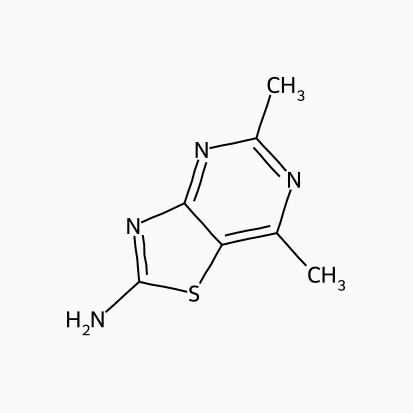 Cc1nc(C)c2sc(N)nc2n1